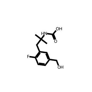 CC(C)(Cc1cc(CO)ccc1F)NC(=O)O